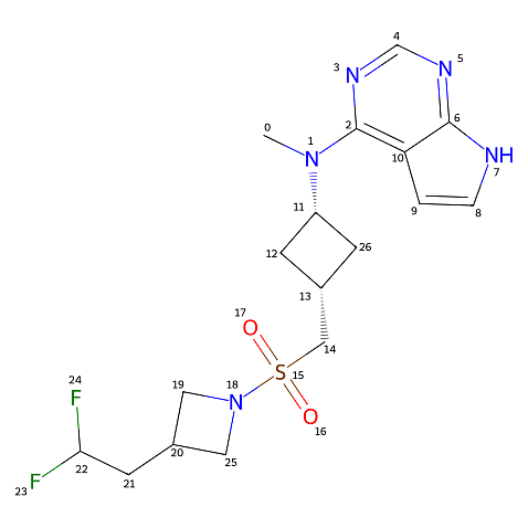 CN(c1ncnc2[nH]ccc12)[C@H]1C[C@@H](CS(=O)(=O)N2CC(CC(F)F)C2)C1